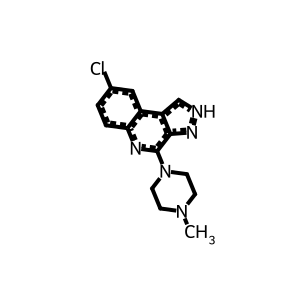 CN1CCN(c2nc3ccc(Cl)cc3c3c[nH]nc23)CC1